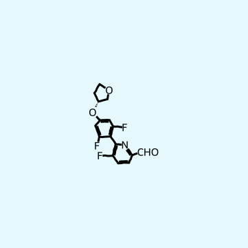 O=Cc1ccc(F)c(-c2c(F)cc(O[C@@H]3CCOC3)cc2F)n1